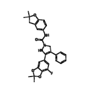 CC1(C)Cc2cc(NC(=O)N3CC(c4ccccc4)=C(c4cc(F)c5c(c4)OC(C)(C)O5)N3)ccc2O1